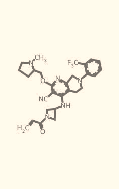 C=CC(=O)N1CC(Nc2c(C#N)c(OCC3CCCN3C)nc3c2CCN(c2ccccc2C(F)(F)F)C3)C1